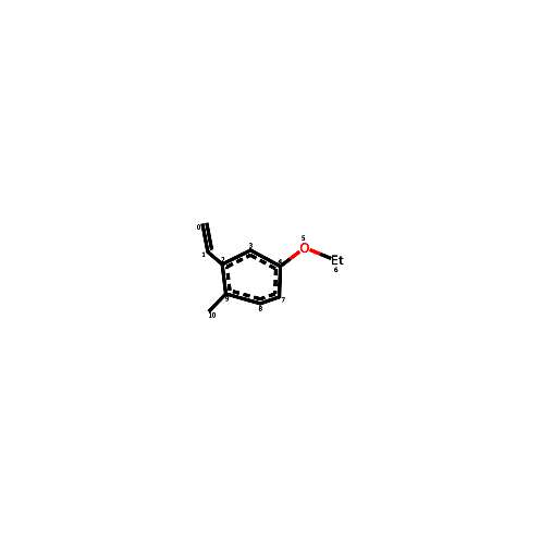 C=Cc1cc(OCC)ccc1C